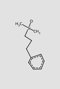 C[Si](C)([O])CCCc1ccccc1